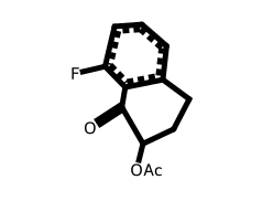 CC(=O)OC1CCc2cccc(F)c2C1=O